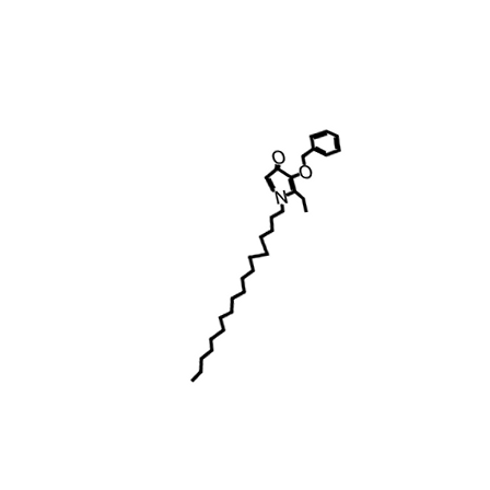 CCCCCCCCCCCCCCCCCCn1ccc(=O)c(OCc2ccccc2)c1CC